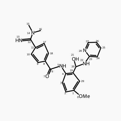 COc1ccc(NC(=O)c2ccc(C(=N)N(C)C)cc2)c(C(O)Nc2ccccn2)c1